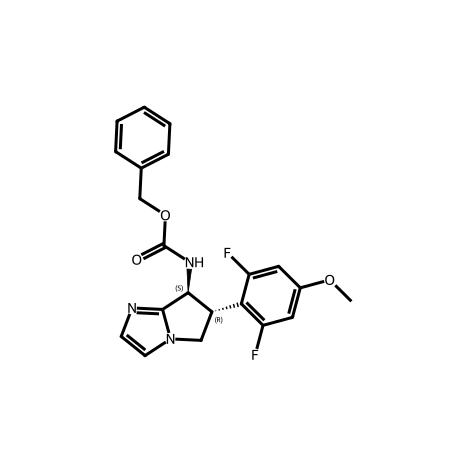 COc1cc(F)c([C@@H]2Cn3ccnc3[C@H]2NC(=O)OCc2ccccc2)c(F)c1